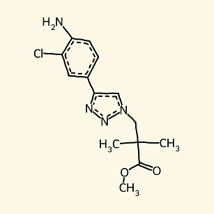 COC(=O)C(C)(C)Cn1cc(-c2ccc(N)c(Cl)c2)nn1